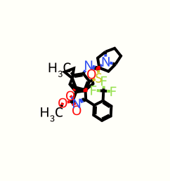 COC(=O)c1cc(C)c2nc(N3C4CCC3CC(OCc3c(-c5ccccc5C(F)(F)F)noc3C3CC3)C4)sc2c1